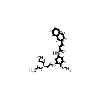 CCCN(CCC)CCOc1cc(NC(=O)C=Cc2ccc3ccccc3c2)ccc1OC